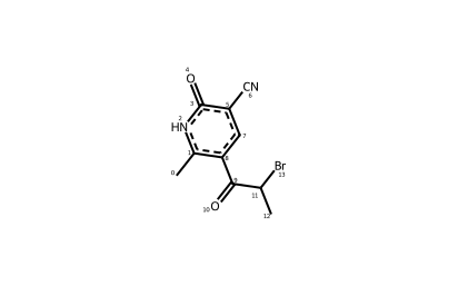 Cc1[nH]c(=O)c(C#N)cc1C(=O)C(C)Br